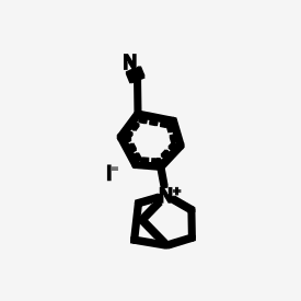 N#Cc1ccc([N+]23CCC(CC2)C3)cc1.[I-]